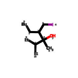 CCC(C)CC(CI)C(C)(O)C(CC)CC